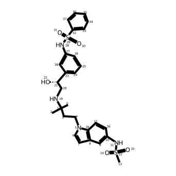 CC(C)(CCn1ccc2cc(NS(C)(=O)=O)ccc21)NC[C@H](O)c1cccc(NS(=O)(=O)c2ccccc2)c1